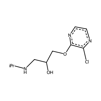 CC(C)NCC(O)COc1nccnc1Cl